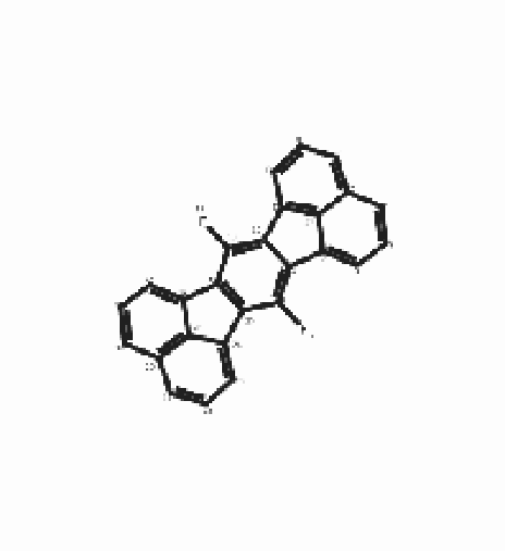 Fc1c2c3cccc4cccc(c2c(F)c2c5cccc6cccc(c12)c65)c43